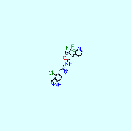 CN(C)[C@H](CNC(=O)C[C@@H](c1cccnc1)C1(C(F)(F)F)CC1)Cc1ccc2[nH]ncc2c1Cl